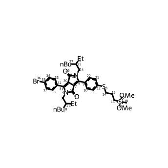 CCCCC(CC)CN1C(=O)C2=C(c3ccc(SCCC[Si](C)(OC)OC)cc3)N(CC(CC)CCCC)C(=O)C2=C1c1ccc(Br)cc1